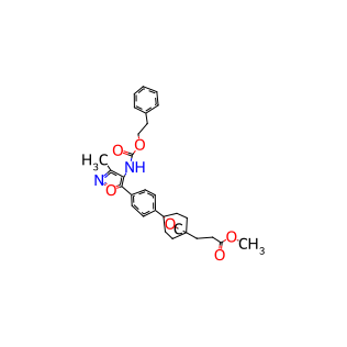 COC(=O)CCC12CCC(c3ccc(-c4onc(C)c4NC(=O)OCCc4ccccc4)cc3)(CC1)OC2